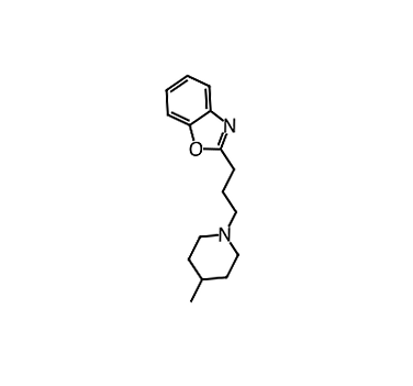 CC1CCN(CCCc2nc3ccccc3o2)CC1